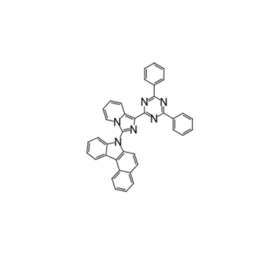 c1ccc(-c2nc(-c3ccccc3)nc(-c3nc(-n4c5ccccc5c5c6ccccc6ccc54)n4ccccc34)n2)cc1